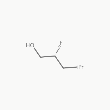 CC(C)C[C@@H](F)CO